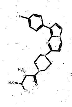 CC(C)[C@H](N)C(=O)N1CCN(c2ccn3ncc(-c4ccc(F)cc4)c3n2)CC1